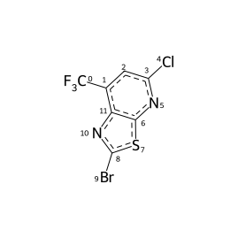 FC(F)(F)c1cc(Cl)nc2sc(Br)nc12